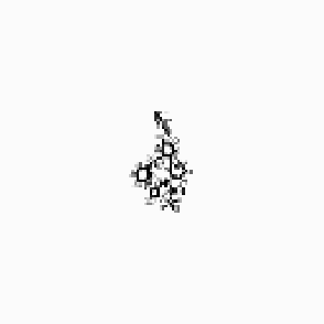 CC(C)(C)OC(=O)N(CC1CCC1)C1CCCN(c2ccc(CN=[N+]=[N-])nc2OCc2ccccc2)C1